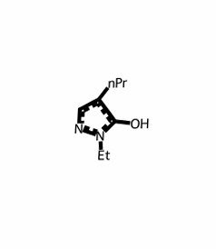 CCCc1cnn(CC)c1O